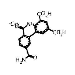 NC(=O)c1ccc(C(N)=O)c(-c2cc(C(=O)O)cc(C(=O)O)c2)c1.[Cu]